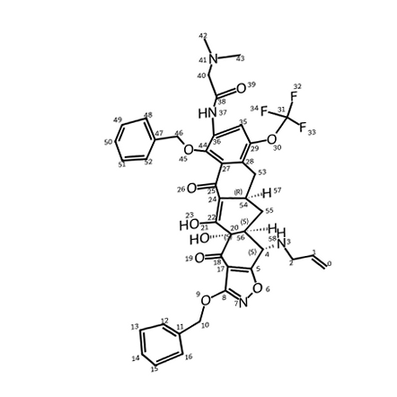 C=CCN[C@@H]1c2onc(OCc3ccccc3)c2C(=O)[C@@]2(O)C(O)=C3C(=O)c4c(c(OC(F)(F)F)cc(NC(=O)CN(C)C)c4OCc4ccccc4)C[C@H]3C[C@@H]12